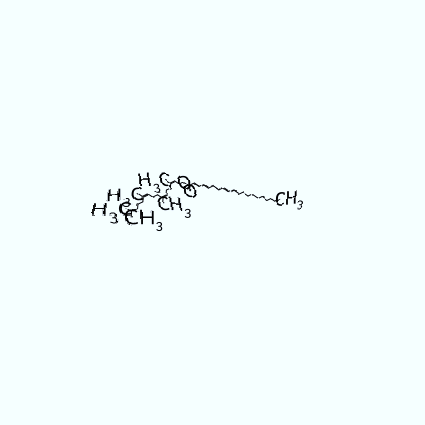 CCCCCCCCCC=CC=CC=CC=CC=CC(=O)OCC=C(C)CCC=C(C)CCC=C(C)CCC=C(C)C